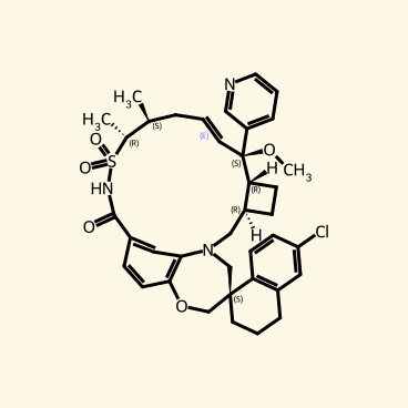 CO[C@]1(c2cccnc2)/C=C/C[C@H](C)[C@@H](C)S(=O)(=O)NC(=O)c2ccc3c(c2)N(C[C@@H]2CC[C@H]21)C[C@@]1(CCCc2cc(Cl)ccc21)CO3